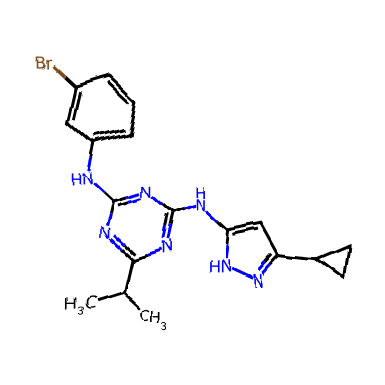 CC(C)c1nc(Nc2cccc(Br)c2)nc(Nc2cc(C3CC3)n[nH]2)n1